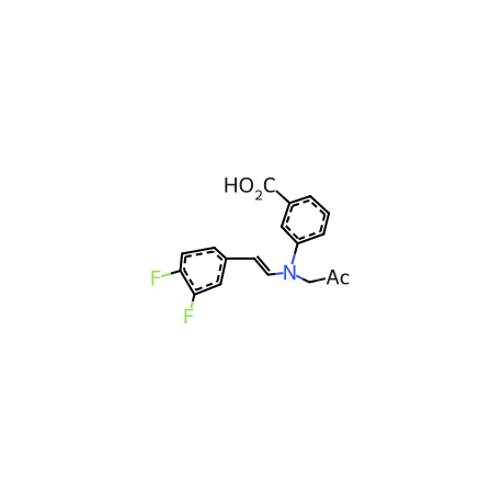 CC(=O)CN(C=Cc1ccc(F)c(F)c1)c1cccc(C(=O)O)c1